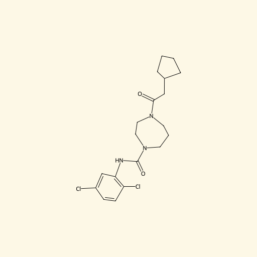 O=C(CC1CCCC1)N1CCCN(C(=O)Nc2cc(Cl)ccc2Cl)CC1